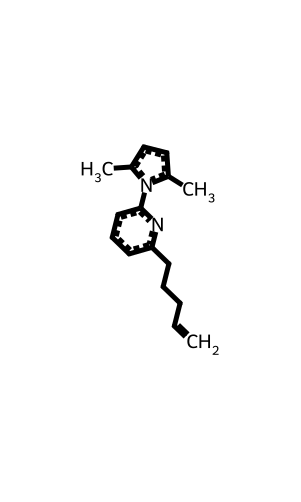 C=CCCCc1cccc(-n2c(C)ccc2C)n1